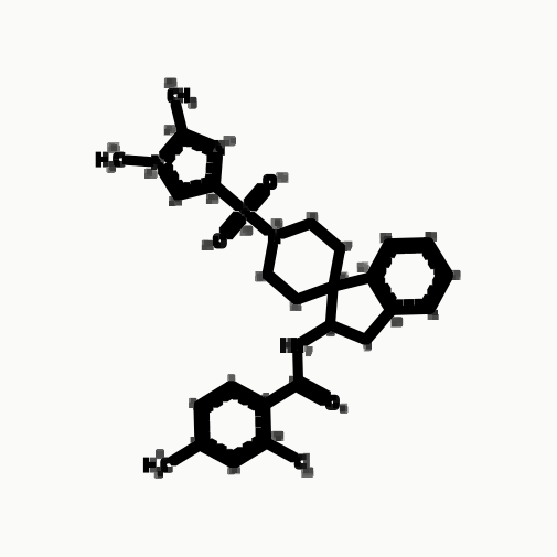 Cc1ccc(C(=O)NC2Cc3ccccc3C23CCN(S(=O)(=O)c2cn(C)c(C)n2)CC3)c(Cl)c1